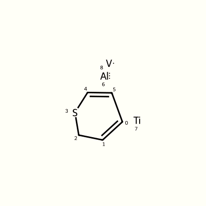 C1=CCSC=C1.[Al].[Ti].[V]